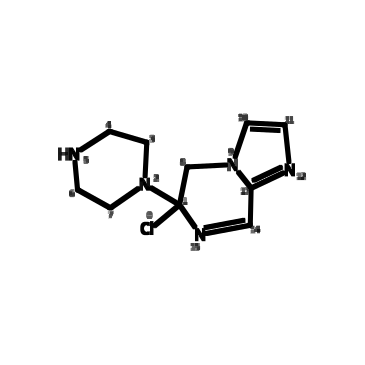 ClC1(N2CCNCC2)Cn2ccnc2C=N1